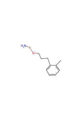 Cc1ccccc1CCCOSN